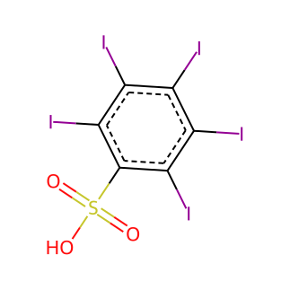 O=S(=O)(O)c1c(I)c(I)c(I)c(I)c1I